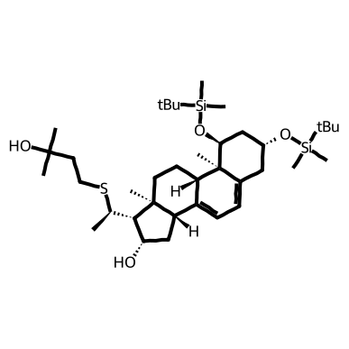 C[C@@H](SCCC(C)(C)O)[C@H]1[C@@H](O)C[C@H]2C3=CC=C4C[C@@H](O[Si](C)(C)C(C)(C)C)C[C@H](O[Si](C)(C)C(C)(C)C)[C@]4(C)[C@H]3CC[C@]12C